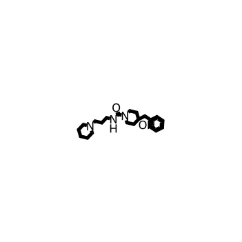 O=C(NCCCN1CCCCC1)N1CCC(O)(Cc2ccccc2)CC1